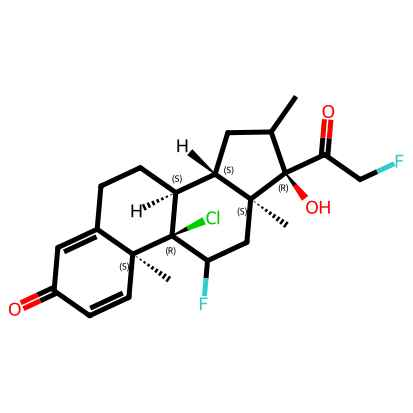 CC1C[C@H]2[C@@H]3CCC4=CC(=O)C=C[C@]4(C)[C@@]3(Cl)C(F)C[C@]2(C)[C@@]1(O)C(=O)CF